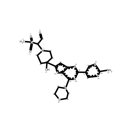 CS(=O)(=O)C(C=O)N1CCC(O)(c2cc3nc(-c4cnc(N)nc4)nc(N4CCOCC4)c3s2)CC1